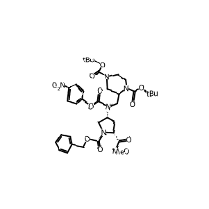 COC(=O)[C@H]1C[C@@H](N(CC2CN(C(=O)OC(C)(C)C)CCN2C(=O)OC(C)(C)C)C(=O)Oc2ccc([N+](=O)[O-])cc2)CN1C(=O)OCc1ccccc1